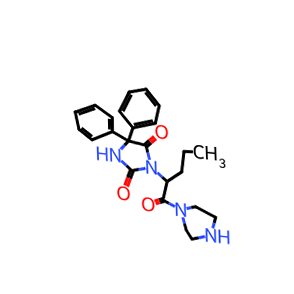 CCCC(C(=O)N1CCNCC1)N1C(=O)NC(c2ccccc2)(c2ccccc2)C1=O